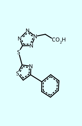 O=C(O)Cn1nnc(Sc2nc(-c3ccccc3)cs2)n1